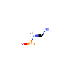 NC=N[PH2]=O.[Cr]